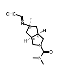 CN(C)C(=O)N1C[C@@H]2C[C@](C)(N=CC=O)C[C@@H]2C1